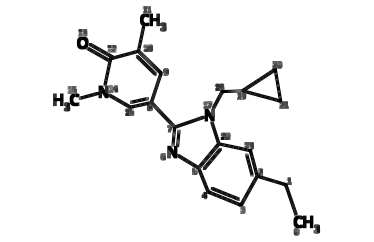 CCc1ccc2nc(-c3cc(C)c(=O)n(C)c3)n(CC3CC3)c2c1